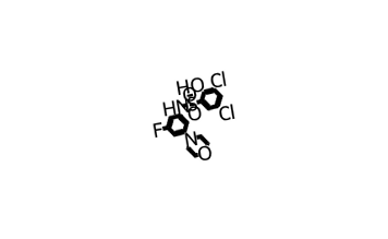 O=S(=O)(Nc1cc(F)cc(N2CCOCC2)c1)c1cc(Cl)cc(Cl)c1O